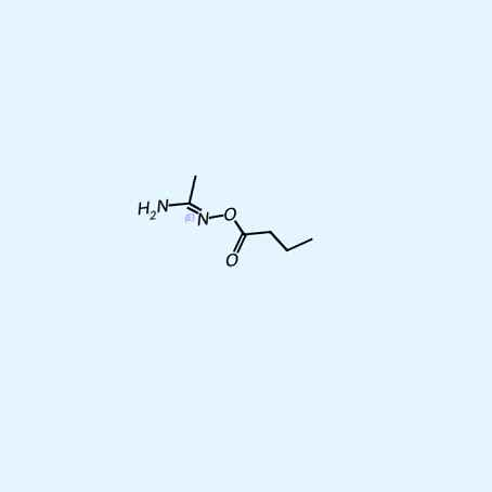 CCCC(=O)O/N=C(\C)N